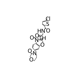 O=C(NC[C@@H]1OC(=O)N2c3ccc(N4CCCOCC4=O)cc3OC[C@@H]12)c1ccc(Cl)s1